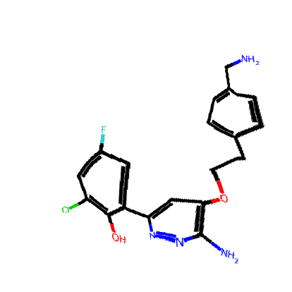 NCc1ccc(CCOc2cc(-c3cc(F)cc(Cl)c3O)nnc2N)cc1